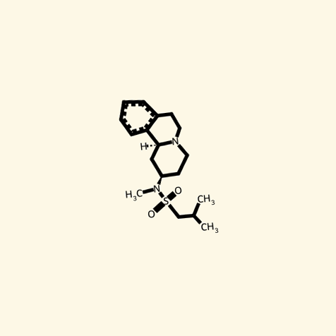 CC(C)CS(=O)(=O)N(C)[C@@H]1CCN2CCc3ccccc3[C@@H]2C1